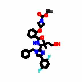 CC(C)(C)OC(=O)N1CC(Oc2ccccc2C(=O)NC(c2nc(-c3cc(F)ccc3F)cn2Cc2ccccc2)C(C)(C)CCO)C1